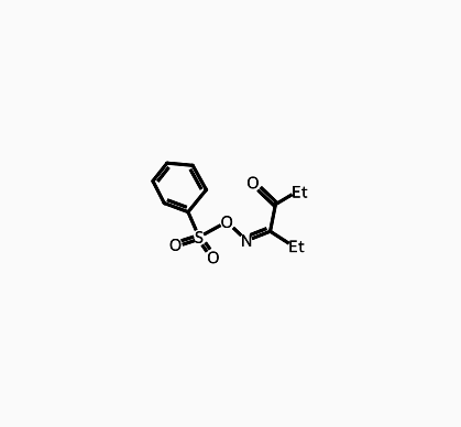 CCC(=O)C(CC)=NOS(=O)(=O)c1ccccc1